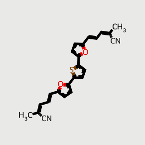 C/C(C#N)=C/C=C/c1ccc(-c2ccc(-c3ccc(/C=C/C=C(/C)C#N)o3)s2)o1